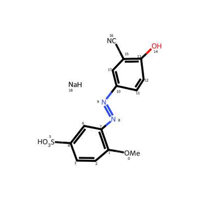 COc1ccc(S(=O)(=O)O)cc1N=Nc1ccc(O)c(C#N)c1.[NaH]